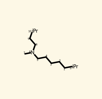 CC(C)CCCCCN(C)CCC(C)C